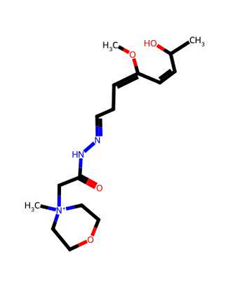 COC(/C=C\C(C)O)=C/C/C=N/NC(=O)C[N+]1(C)CCOCC1